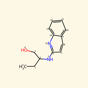 CCC(CO)Nc1ccc2ccccc2n1